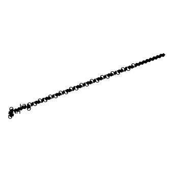 C=C(C(C)=O)C(=O)NCCCCCCNC(=O)OCCOCCOCCOCCOCCOCCOCCOCCOCCOCCOCCOCCOCCOCCOCCOCCOCCOCCOCCOCCOCCCCCCCCCCCCCCCCCC